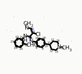 C=N/C=C(Cl)\C(=N/c1ccc(C2CCN(C)CC2)cc1)Nc1ccccc1C=O